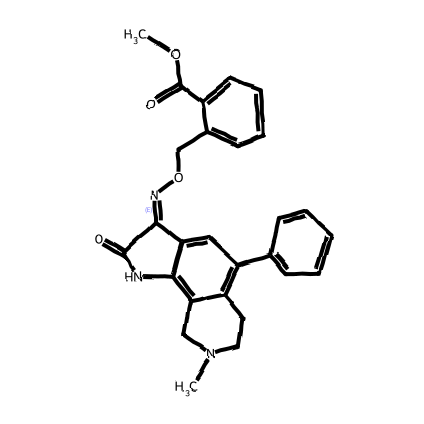 COC(=O)c1ccccc1CO/N=C1/C(=O)Nc2c1cc(-c1ccccc1)c1c2CN(C)CC1